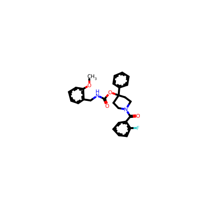 COc1ccccc1CNC(=O)OC1(c2ccccc2)CCN(C(=O)c2ccccc2F)CC1